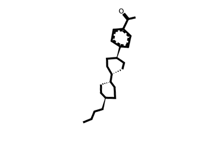 CCCC[C@H]1CC[C@H]([C@H]2CC[C@H](c3ccc(C(C)=O)cc3)CC2)CC1